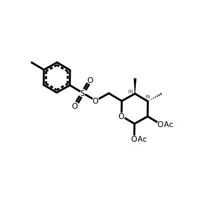 CC(=O)OC1OC(COS(=O)(=O)c2ccc(C)cc2)[C@@H](C)[C@H](C)C1OC(C)=O